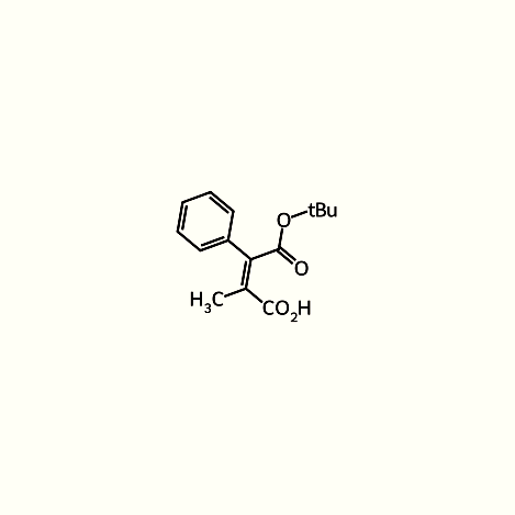 CC(C(=O)O)=C(C(=O)OC(C)(C)C)c1ccccc1